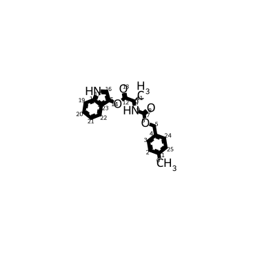 Cc1ccc(COC(=O)N[C@@H](C)C(=O)Oc2c[nH]c3ccccc23)cc1